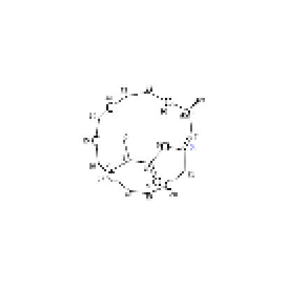 CC(C)C(=O)O/C1=C\[C@H](C)CCCCCCCCCCCC1